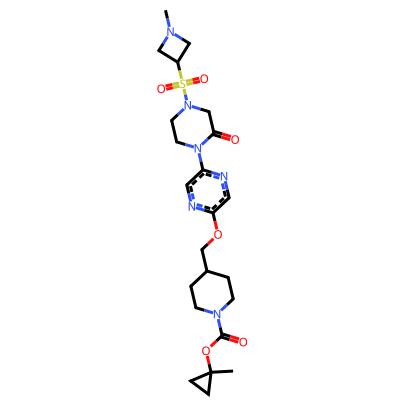 CN1CC(S(=O)(=O)N2CCN(c3cnc(OCC4CCN(C(=O)OC5(C)CC5)CC4)cn3)C(=O)C2)C1